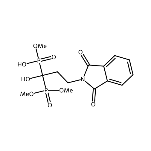 COP(=O)(O)C(O)(CCN1C(=O)c2ccccc2C1=O)P(=O)(OC)OC